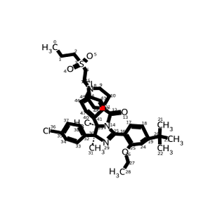 CCCS(=O)(=O)CCN1CCN(C(=O)N2C(c3ccc(C(C)(C)C)cc3OCC)=N[C@@](C)(c3ccc(Cl)cc3)[C@@]2(C)c2ccc(Cl)cc2)CC1